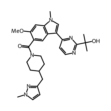 COc1cc2c(cc1C(=O)N1CCC(Cc3ccn(C)n3)CC1)c(-c1ccnc(C(C)(C)O)n1)cn2C